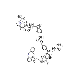 CN[C@](C=O)(CN[C@H](C(=O)N(C)[C@H](/C=C(\C)C(=O)O)C(C)C)C(C)(C)C)C(C)(C)c1cn(C)c2ccc(CNC(=O)OCc3ccc(NC(=O)[C@H](CCCNC(N)=O)NC(=O)[C@@H](NC(=O)CCC(=O)N4Cc5ccccc5/C=C\c5ccccc54)C(C)C)cc3)cc12